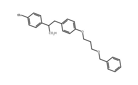 CC(C)(C)c1ccc(C(Cc2ccc(OCCCOCc3ccccc3)cc2)C(=O)O)cc1